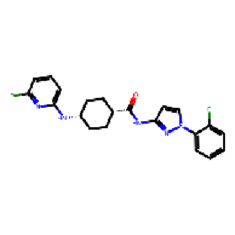 O=C(Nc1ccn(-c2ccccc2F)n1)[C@H]1CC[C@@H](Nc2cccc(F)n2)CC1